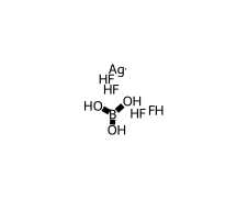 F.F.F.F.OB(O)O.[Ag]